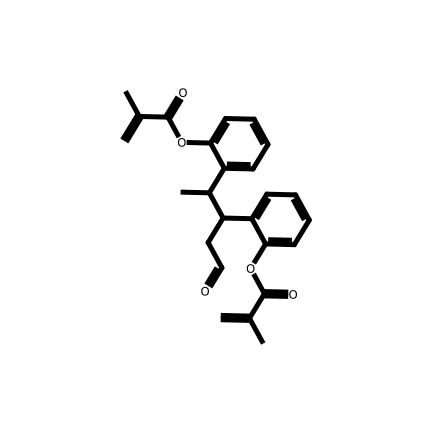 C=C(C)C(=O)Oc1ccccc1C(C)C(CC=O)c1ccccc1OC(=O)C(=C)C